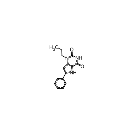 CCCn1c(=O)[nH]c(=O)c2[nH]c(-c3ccccc3)cc21